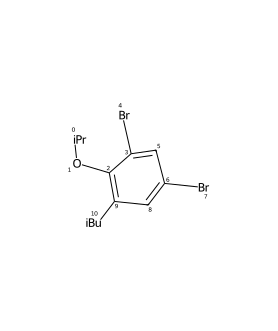 [CH2]C(C)Oc1c(Br)cc(Br)cc1C(C)CC